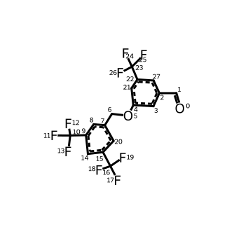 O=Cc1cc(OCc2cc(C(F)(F)F)cc(C(F)(F)F)c2)cc(C(F)(F)F)c1